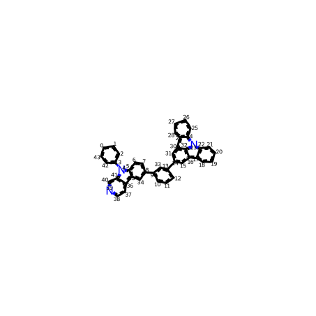 c1ccc(-n2c3ccc(-c4cccc(-c5cc6c7ccccc7n7c8ccccc8c(c5)c67)c4)cc3c3ccncc32)cc1